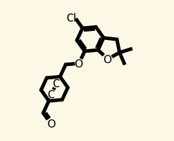 CC1(C)Cc2cc(Cl)cc(OCC34CCC(C=O)(CC3)CC4)c2O1